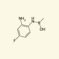 CB(O)Nc1ccc(F)cc1N